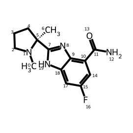 CN1CCC[C@@]1(C)c1nc2c(C(N)=O)cc(F)cc2[nH]1